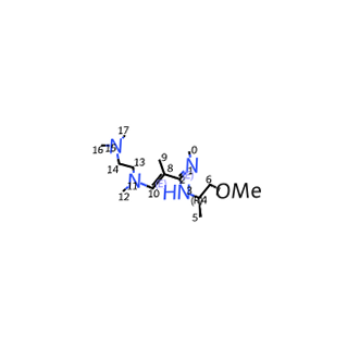 C/N=C(N[C@H](C)COC)\C(C)=C\N(C)CCN(C)C